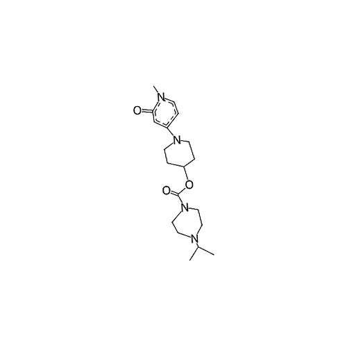 CC(C)N1CCN(C(=O)OC2CCN(c3ccn(C)c(=O)c3)CC2)CC1